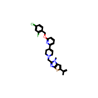 C=C(C)c1cc2c(nc(CN3CC=C(c4cccc(OCc5ccc(Cl)cc5F)n4)CC3)n2C)s1